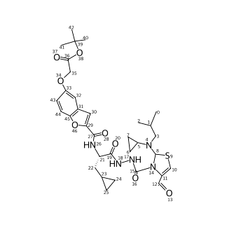 CC(C)CN(C1CC1)C1SC=C([C]=O)N1C(=O)NNC(=O)[C@H](CC1CC1)NC(=O)c1cc2cc(OCC(=O)OC(C)(C)C)ccc2o1